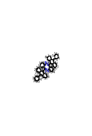 c1ccc(-c2c3ccccc3c(/C3=N/c4ccccc4/C(c4c5ccccc5c(-c5ccccc5)c5ccccc45)=N\c4ccccc43)c3ccccc23)cc1